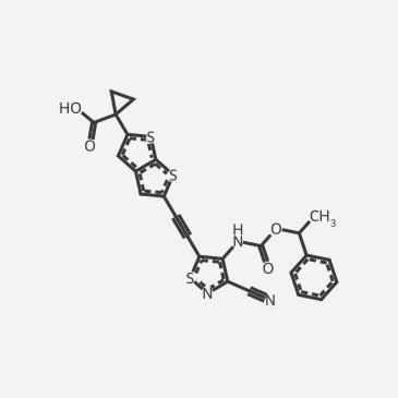 CC(OC(=O)Nc1c(C#N)nsc1C#Cc1cc2cc(C3(C(=O)O)CC3)sc2s1)c1ccccc1